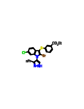 CCCc1n[nH]cc1-n1c(Br)c(Sc2cccc(C(=O)OCC)c2)c2ccc(Cl)cc21